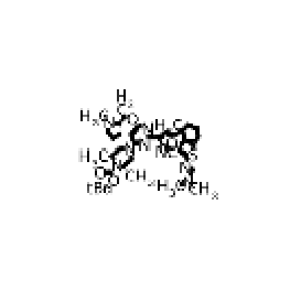 C[C@H](Oc1cc(N2C[C@@H](C)N(C(=O)OC(C)(C)C)[C@@H](C)C2)nc(-c2cc([C@@]3(C)CCCc4sc(/N=C/N(C)C)c(C#N)c43)on2)n1)[C@@H]1CCCN1C